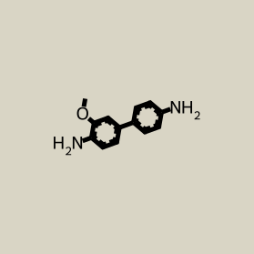 COc1cc(-c2ccc(N)cc2)ccc1N